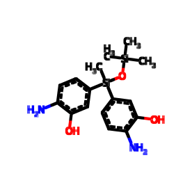 C[Si](C)(C)O[Si](C)(c1ccc(N)c(O)c1)c1ccc(N)c(O)c1